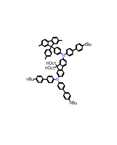 CCCCCCCCC1(CCCCCCCC)c2cc(N(c3ccc(-c4ccc(CCCC)cc4)cc3)c3ccc(-c4ccc(CCCC)cc4)cc3)ccc2-c2ccc(N(c3ccc(-c4ccc(C(C)(C)C)cc4)cc3)c3ccc(C4(c5ccc(C)cc5)c5cc(C)ccc5-c5ccc(C)cc54)cc3)cc21